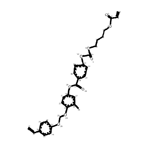 C=CC(=O)OCCCCOC(=O)Oc1ccc(C(=O)Oc2ccc(OCOc3ccc(C=C)cc3)c(C)c2)cc1